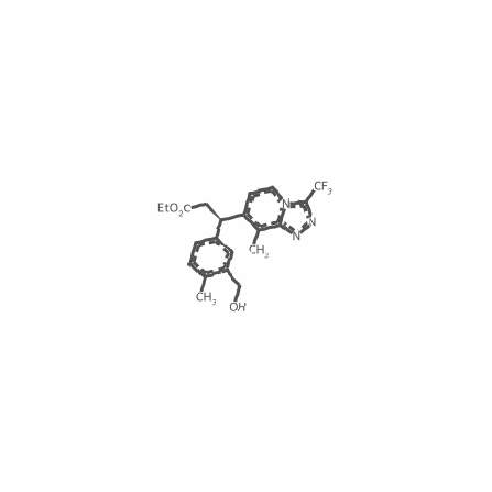 CCOC(=O)C[C@H](c1ccc(C)c(CO)c1)c1ccn2c(C(F)(F)F)nnc2c1C